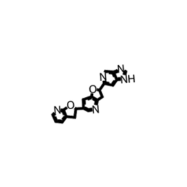 c1cnc2c(c1)CC(c1cnc3c(c1)OC(c1cc4[nH]cnc4cn1)C3)O2